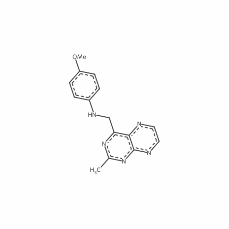 COc1ccc(NCc2nc(C)nc3nccnc23)cc1